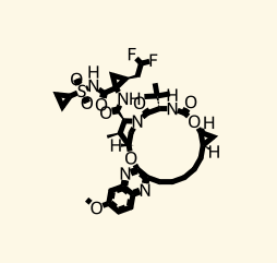 COc1ccc2nc3c(nc2c1)O[C@H]1CN(C(=O)[C@H](C(C)(C)C)NC(=O)O[C@@H]2C[C@H]2CCCCC3)[C@H](C(=O)NC2(C(=O)NS(=O)(=O)C3CC3)C[C@H]2CC(F)F)[C@@H]1C